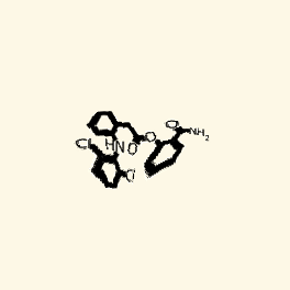 NC(=O)c1ccccc1OC(=O)Cc1ccccc1Nc1c(Cl)cccc1Cl